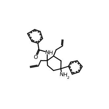 C=CCC1CC(N)(c2ccccc2)CCC1(CC=C)NC(=O)c1ccccc1